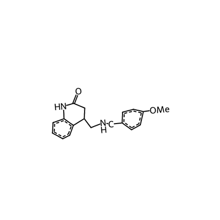 COc1ccc(CNCC2CC(=O)Nc3ccccc32)cc1